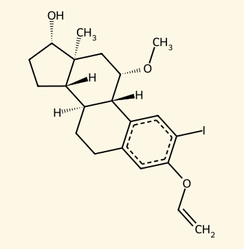 C=COc1cc2c(cc1I)[C@@H]1[C@@H](CC2)[C@@H]2CC[C@H](O)[C@@]2(C)C[C@@H]1OC